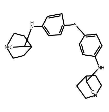 c1cc(Sc2ccc(NC3CN4CCC3CC4)cc2)ccc1NC1CN2CCC1CC2